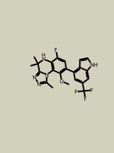 COc1c(-c2cc(C(F)(F)F)cc3[nH]ccc23)cc(F)c2c1-n1c(C)nnc1C(C)(C)N2